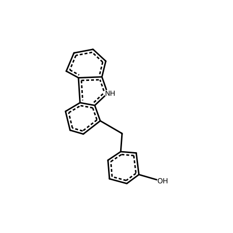 Oc1cccc(Cc2cccc3c2[nH]c2ccccc23)c1